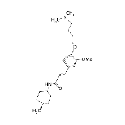 COc1cc(C=CC(=O)N[C@H]2CC[C@H](C)CC2)ccc1OCCCCN(C)C